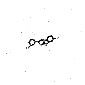 Clc1cccc(-c2cn3c(n2)sc2cc(Br)ccc23)c1